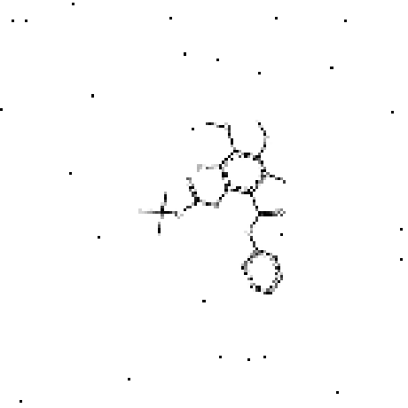 COc1c(C)c(C(=O)Oc2ccccc2)c(OC(=O)OC(C)(C)C)c(Br)c1OC